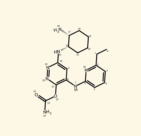 CCc1cccc(Nc2cc(N[C@H]3CCCC[C@H]3N)nnc2OC(N)=O)n1